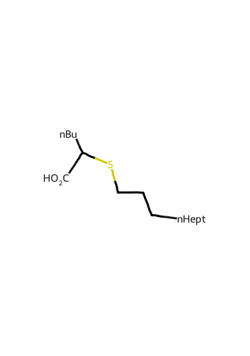 CCCCCCCCCCSC(CCCC)C(=O)O